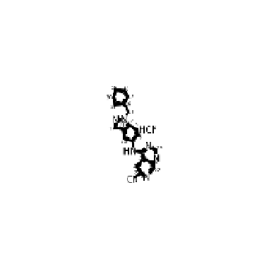 Cl.Clc1cc2c(Nc3ccc4c(cnn4Cc4ccccc4)c3)ncnc2cn1